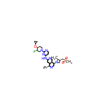 CC(C)c1ncc(N2C[C@H](CS(C)(=O)=O)[C@H]2C)c2cnc(Nc3ccnc(N4CC[C@H](OC5CC5)[C@H](F)C4)n3)cc12